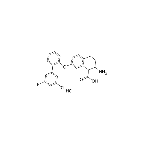 Cl.NC1CCc2ccc(Oc3ccccc3-c3cc(F)cc(Cl)c3)cc2C1C(=O)O